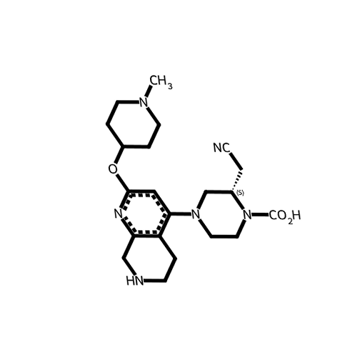 CN1CCC(Oc2cc(N3CCN(C(=O)O)[C@@H](CC#N)C3)c3c(n2)CNCC3)CC1